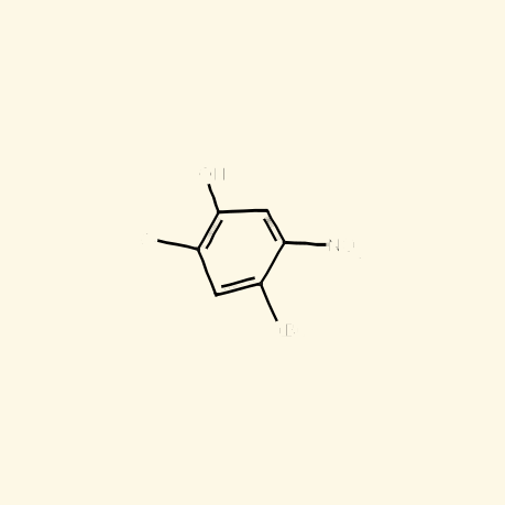 CC(C)(C)c1cc(Cl)c(O)cc1[N+](=O)[O-]